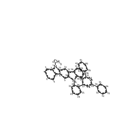 Cn1c2ccccc2c2cc3c(cc21)c1ccccc1n3-c1ccccc1-c1nc(-c2ccccc2)nc(-c2ccccc2)n1